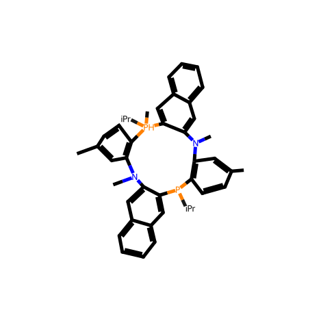 Cc1ccc2c(c1)N(C)c1cc3ccccc3cc1[PH](C)(C(C)C)c1ccc(C)cc1N(C)c1cc3ccccc3cc1P2C(C)C